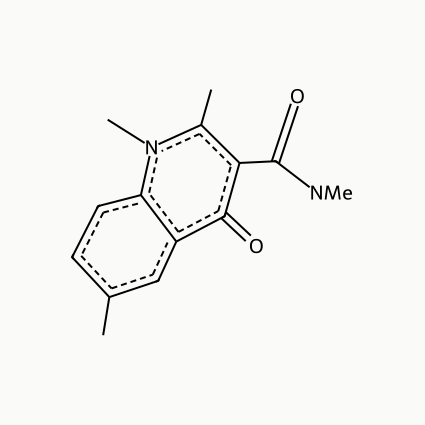 CNC(=O)c1c(C)n(C)c2ccc(C)cc2c1=O